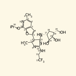 Cc1cc2cc(-c3c(C)nc(NCC(F)(F)F)nc3N[C@@H]3C[C@H](CO)[C@@H](O)[C@H]3O)oc2c(OC(C)C)n1